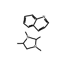 CC1CN(C)C(C)N1C.c1ccc2ncccc2c1